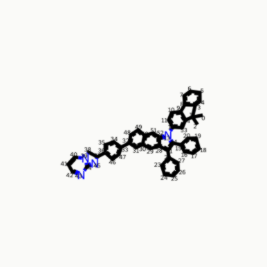 CC1(C)c2ccccc2-c2ccc(-n3c(-c4ccccc4)c(-c4ccccc4)c4cc5cc(-c6ccc(C7CN8C=CC=NC8=N7)cc6)ccc5cc43)cc21